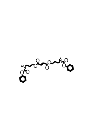 CN(CCCOC(=O)/C=C/C(=O)OCCCN(C)C(=O)Oc1ccccc1)C(=O)Oc1ccccc1